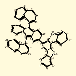 c1ccc2c(-c3c4ccccc4c(-c4cccc5ccccc45)c4cc(-c5cc6c7ccccc7oc6c6c5oc5ccccc56)ccc34)cccc2c1